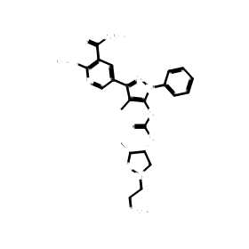 CNC(=O)c1cc(-c2nn(-c3ccccc3)c(NC(=O)N[C@@H]3CN(CCOC)O[C@H]3C)c2C)cnc1OC